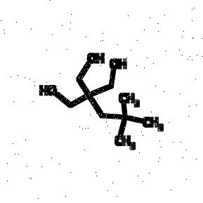 CC(C)(C)CC(CO)(CO)CO